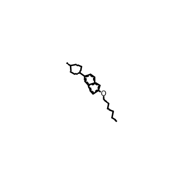 CCCCCCOc1ccc2cc(C3CCC(C)CC3)ccc2c1